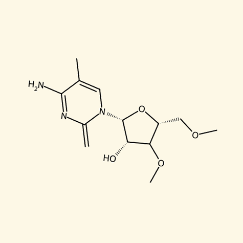 C=C1N=C(N)C(C)=CN1[C@@H]1O[C@H](COC)C(OC)[C@@H]1O